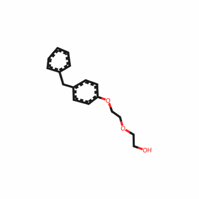 OCCOCCOc1ccc(Cc2ccccc2)cc1